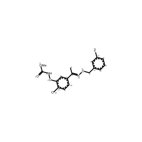 COC(=O)NOc1cc(/C(C)=N/OCc2cccc(F)c2)ccc1Cl